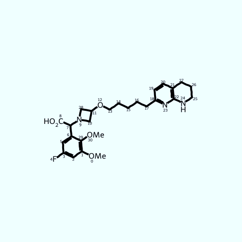 COc1cc(F)cc(C(C(=O)O)N2CC(OCCCCCc3ccc4c(n3)NCCC4)C2)c1OC